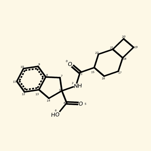 O=C(NC1(C(=O)O)Cc2ccccc2C1)C1CCC2CCC2C1